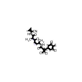 C=C(/C=C\C(Cl)=C(/C)C(=O)NC1(C#N)CC1)NC(=O)C1C(c2cc(Cl)c(F)c(Cl)c2)C1(Cl)Cl